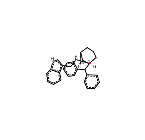 c1ccc(C(c2ccccc2)[C@H]2[C@H](NCc3c[nH]c4ccccc34)C3CCN2CC3)cc1